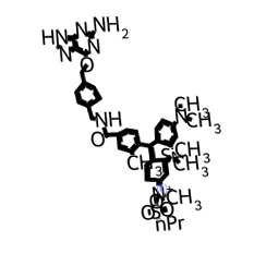 CCCS(=O)(=O)O/[N+](C)=C1\C=CC2=C(c3ccc(C(=O)NCc4ccc(COc5nc(N)nc6[nH]cnc56)cc4)cc3C)c3ccc(N(C)C)cc3[Si](C)(C)C2=C1